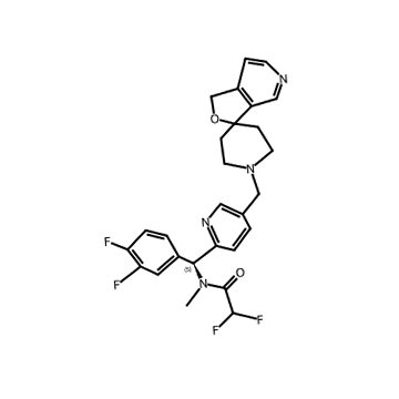 CN(C(=O)C(F)F)[C@@H](c1ccc(F)c(F)c1)c1ccc(CN2CCC3(CC2)OCc2ccncc23)cn1